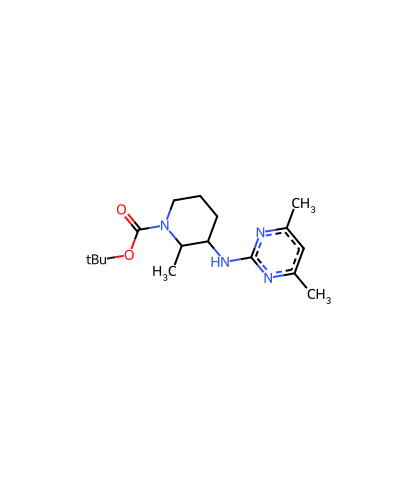 Cc1cc(C)nc(NC2CCCN(C(=O)OC(C)(C)C)C2C)n1